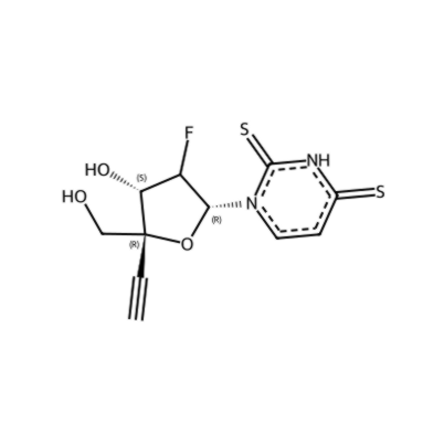 C#C[C@]1(CO)O[C@@H](n2ccc(=S)[nH]c2=S)C(F)[C@H]1O